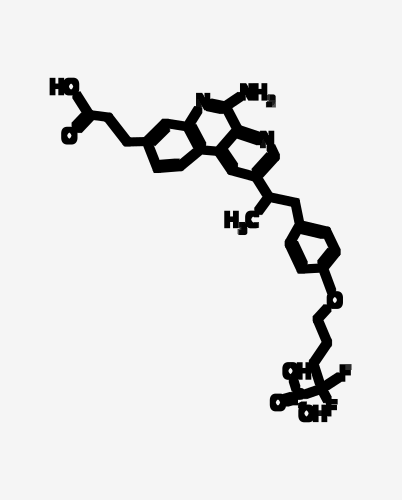 CC(Cc1ccc(OCCCC(F)(F)P(=O)(O)O)cc1)c1cnc2c(N)nc3cc(CCC(=O)O)ccc3c2c1